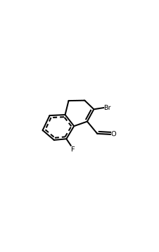 O=CC1=C(Br)CCc2cccc(F)c21